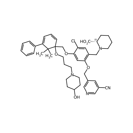 CC1(C)C(c2ccccc2)=CC=CC1(COc1cc(OCc2cncc(C#N)c2)c(CN2CCCC[C@H]2C(=O)O)cc1Cl)OCCCN1CCC(O)CC1